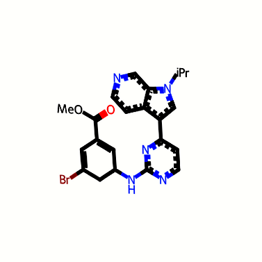 COC(=O)C1=CC(Nc2nccc(-c3cn(C(C)C)c4cnccc34)n2)CC(Br)=C1